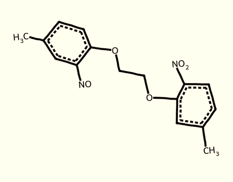 Cc1ccc(OCCOc2cc(C)ccc2[N+](=O)[O-])c(N=O)c1